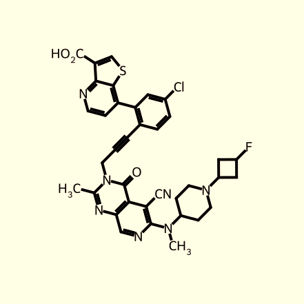 Cc1nc2cnc(N(C)C3CCN(C4CC(F)C4)CC3)c(C#N)c2c(=O)n1CC#Cc1ccc(Cl)cc1-c1ccnc2c(C(=O)O)csc12